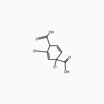 O=C(O)C1C=CC(Cl)(C(=O)O)C=C1Cl